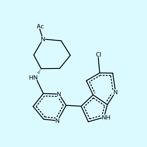 CC(=O)N1CCC[C@H](Nc2ccnc(-c3c[nH]c4ncc(Cl)cc34)n2)C1